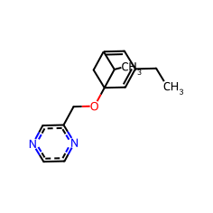 CCC1=CC2(OCc3cnccn3)CC(=C1)C2C